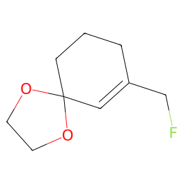 FCC1=CC2(CCC1)OCCO2